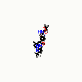 CC1CCN(c2nc(C(C)(C)C)ccc2CNC(=O)C(C)c2ccc3nc(NC(=O)OC(C)(C)C)sc3c2)CC1